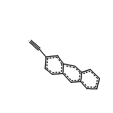 [C]#Cc1ccc2cc3ccccc3cc2c1